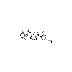 CC(C)(C)ON1[C@H]2CC[C@H]1CC(Oc1ncnc3c1CCN3c1ccc(C#N)cc1Cl)C2